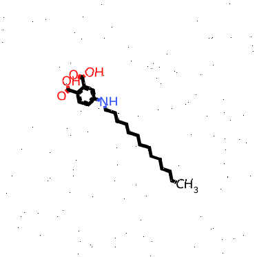 CCCCCCCCCCCCCCNc1ccc(C(=O)O)c(C(=O)O)c1